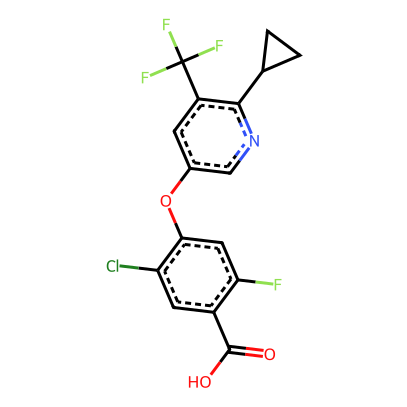 O=C(O)c1cc(Cl)c(Oc2cnc(C3CC3)c(C(F)(F)F)c2)cc1F